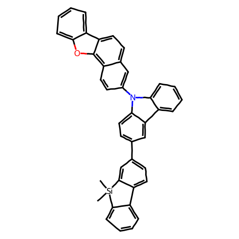 C[Si]1(C)c2ccccc2-c2ccc(-c3ccc4c(c3)c3ccccc3n4-c3ccc4c(ccc5c6ccccc6oc45)c3)cc21